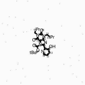 CC(C)Cn1c(=O)c2c(nc(-c3ncccc3O)n2C(=O)OC(C)(C)C)n(CC(C)C)c1=O